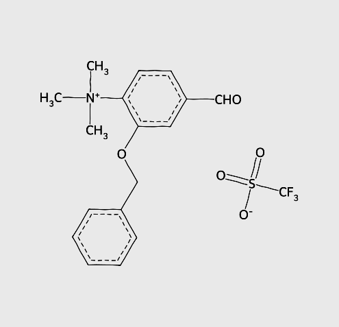 C[N+](C)(C)c1ccc(C=O)cc1OCc1ccccc1.O=S(=O)([O-])C(F)(F)F